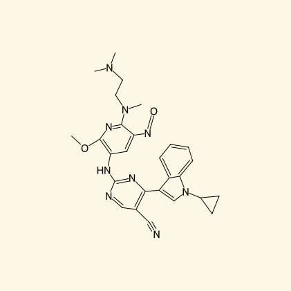 COc1nc(N(C)CCN(C)C)c(N=O)cc1Nc1ncc(C#N)c(-c2cn(C3CC3)c3ccccc23)n1